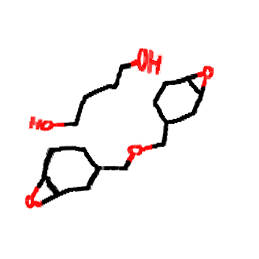 C1CC2OC2CC1COCC1CCC2OC2C1.OCCCCO